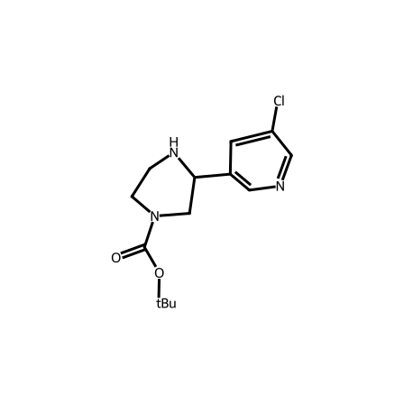 CC(C)(C)OC(=O)N1CCNC(c2cncc(Cl)c2)C1